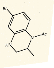 CC(=O)N1c2ccc(Br)cc2NCC1C